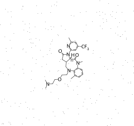 Cc1cc(C(F)(F)F)cc(N2C(=O)CC3CN(CCOCCN(C)C)c4c(C)cccc4N(C)C(=O)[C@H]32)n1